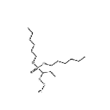 CCCCCCOP(=S)(OCCCCCC)C(CC)SSS